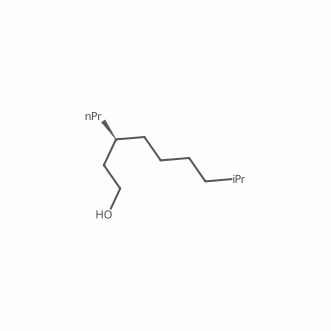 CCC[C@H](CCO)CCCCC(C)C